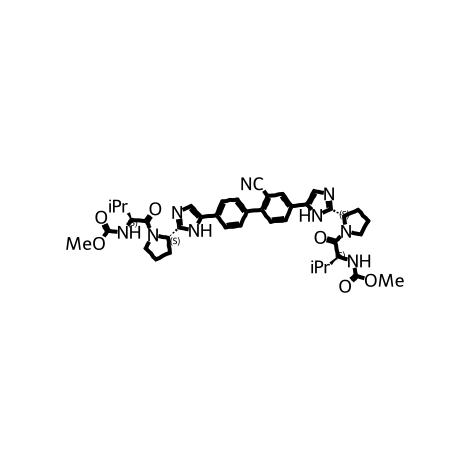 COC(=O)N[C@H](C(=O)N1CCC[C@H]1c1ncc(-c2ccc(-c3ccc(-c4cnc([C@@H]5CCCN5C(=O)[C@@H](NC(=O)OC)C(C)C)[nH]4)cc3C#N)cc2)[nH]1)C(C)C